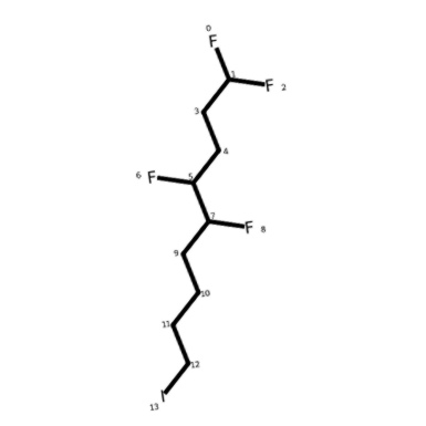 FC(F)CCC(F)C(F)CCCCI